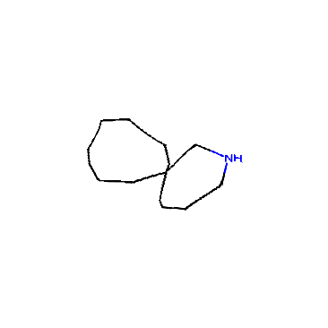 C1CCCC2(CC1)CCCNC2